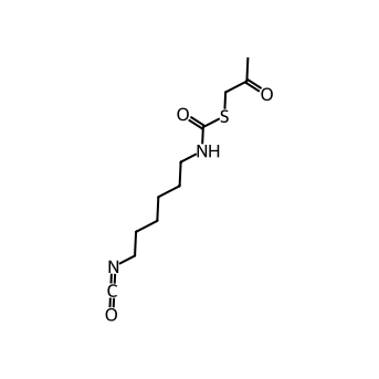 CC(=O)CSC(=O)NCCCCCCN=C=O